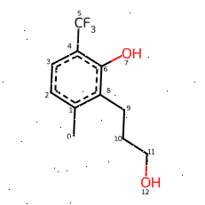 Cc1ccc(C(F)(F)F)c(O)c1CCCO